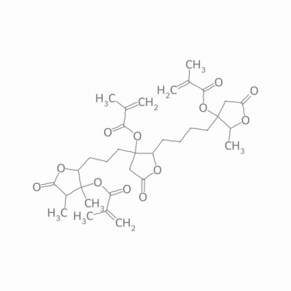 C=C(C)C(=O)OC1(CCCCC2OC(=O)CC2(CCCC2OC(=O)C(C)C2(C)OC(=O)C(=C)C)OC(=O)C(=C)C)CC(=O)OC1C